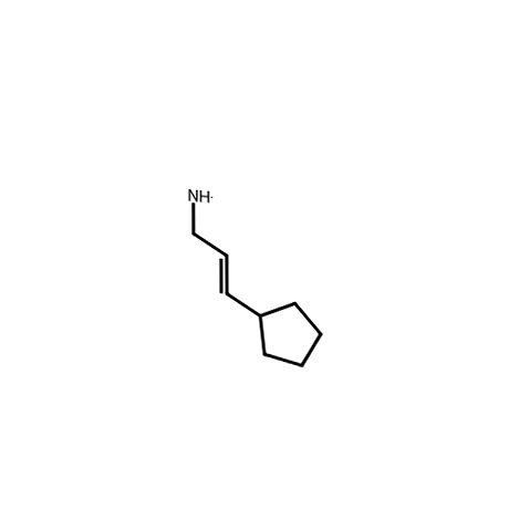 [NH]CC=CC1CCCC1